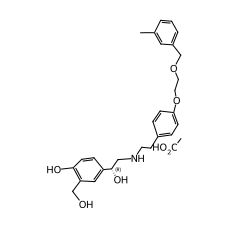 CC(=O)O.Cc1cccc(COCCOc2ccc(CCNC[C@H](O)c3ccc(O)c(CO)c3)cc2)c1